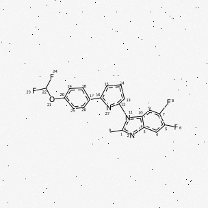 Cc1nc2cc(F)c(F)cc2n1-c1cccc(-c2ccc(OC(F)F)cc2)n1